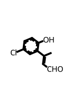 C/C(=C\C=O)c1cc(Cl)ccc1O